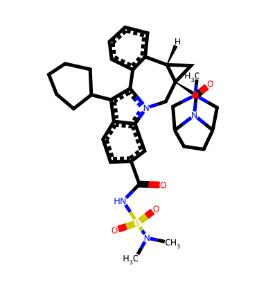 CN1CC2CCC(C1)N2C(=O)[C@]12C[C@H]1c1ccccc1-c1c(C3CCCCC3)c3ccc(C(=O)NS(=O)(=O)N(C)C)cc3n1C2